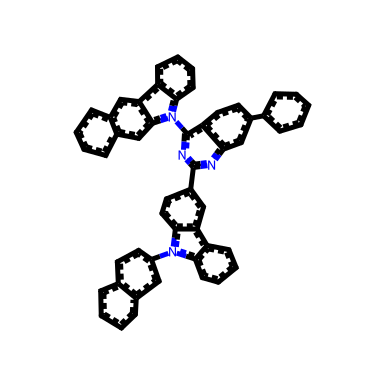 c1ccc(-c2ccc3c(-n4c5ccccc5c5cc6ccccc6cc54)nc(-c4ccc5c(c4)c4ccccc4n5-c4ccc5ccccc5c4)nc3c2)cc1